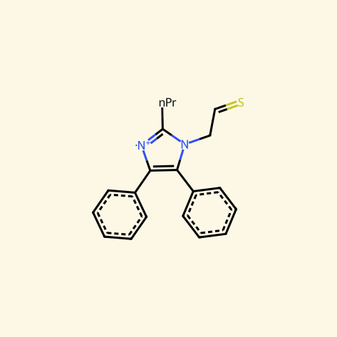 CCCC1=[N+]C(c2ccccc2)=C(c2ccccc2)N1CC=S